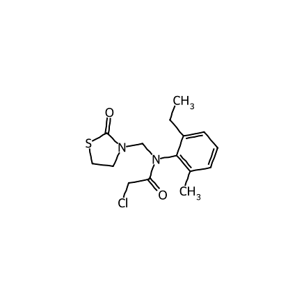 CCc1cccc(C)c1N(CN1CCSC1=O)C(=O)CCl